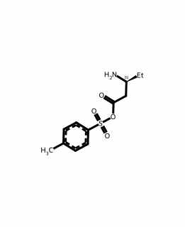 CC[C@H](N)CC(=O)OS(=O)(=O)c1ccc(C)cc1